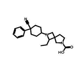 CCC1N(C2CCC(C#N)(c3ccccc3)CC2)CC12CCN(C(=O)O)C2